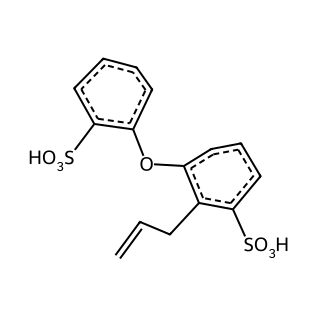 C=CCc1c(Oc2ccccc2S(=O)(=O)O)cccc1S(=O)(=O)O